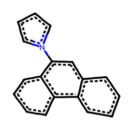 c1ccc2c(c1)cc(-n1cccc1)c1ccccc12